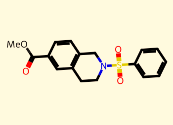 COC(=O)c1ccc2c(c1)CCN(S(=O)(=O)c1ccccc1)C2